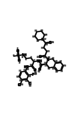 CS(=O)(=O)NCCC(NC(=O)[C@@H]1Cc2ccccc2CN1C(=O)CCC(=O)N1CCCCC1)C(=O)Nc1ccc(Cl)c(Cl)c1F